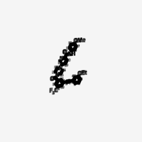 CCOc1cccc(C#Cc2cc(C(=O)N3CCN(c4ccc(C(=O)Nc5ccc(OC)cc5)nn4)CC3)cc(C(F)(F)F)c2)c1